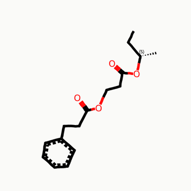 CC[C@H](C)OC(=O)CCOC(=O)CCc1ccccc1